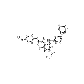 COc1ccc(CN2CCc3nc(SC)nc(Nc4cccc(-c5ncccn5)c4)c3C2=O)cc1